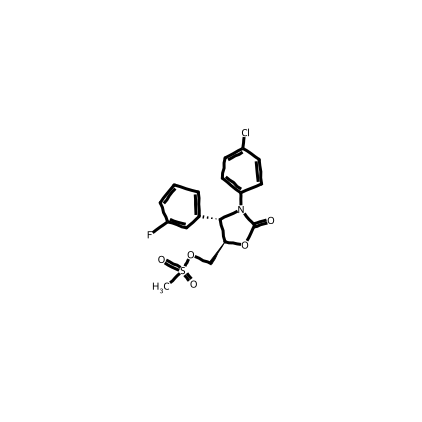 CS(=O)(=O)OC[C@@H]1OC(=O)N(c2ccc(Cl)cc2)[C@H]1c1cccc(F)c1